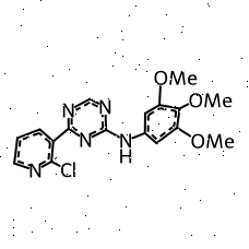 COc1cc(Nc2ncnc(-c3cccnc3Cl)n2)cc(OC)c1OC